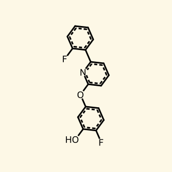 Oc1cc(Oc2cccc(-c3ccccc3F)n2)ccc1F